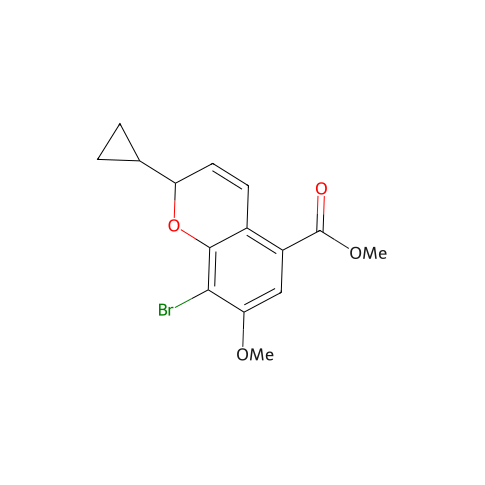 COC(=O)c1cc(OC)c(Br)c2c1C=CC(C1CC1)O2